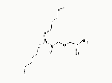 CCCCCCN(CCCCCC)C(=O)COCC(N)=O